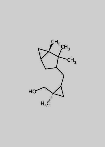 CC1(C)C(CC2C[C@@]2(C)CO)CC2C[C@@]21C